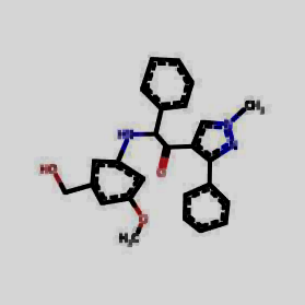 COc1cc(CO)cc(NC(C(=O)c2cn(C)nc2-c2ccccc2)c2ccccc2)c1